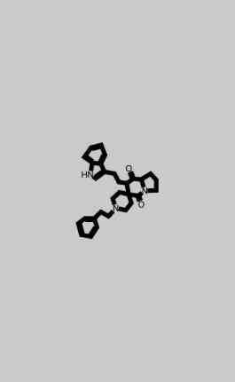 O=C1C2CCCN2C(=O)C2(CCN(CCc3ccccc3)CC2)C1CCc1c[nH]c2ccccc12